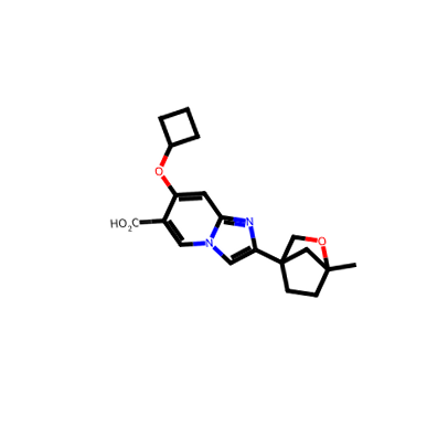 CC12CCC(c3cn4cc(C(=O)O)c(OC5CCC5)cc4n3)(CO1)C2